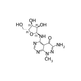 Cn1nc(N)c(=O)c2c(N[C@H]3O[C@H](CO)[C@@H](O)[C@H]3O)ncnc21